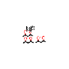 CC([O-])CC(C)[O-].CC([O-])CC(C)[O-].CC([O-])CC(C)[O-].[Nd+3].[Nd+3]